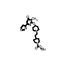 Cn1c(OC2CCN(CCC3CCN(C(=O)OC(C)(C)C)CC3)CC2)nc(-c2ccncn2)cc1=O